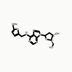 COc1ccc(CNc2ncnc3c2ncn3C2C[C@H](O)[C@@H](CO)O2)o1